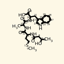 CSCCC(NC(=O)CC(C)O)C(=O)NC(C)C(=O)NC(Cc1c[nH]c2ccccc12)C(=O)O